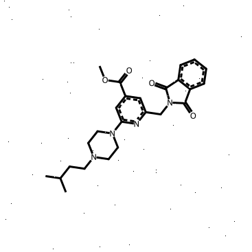 COC(=O)c1cc(CN2C(=O)c3ccccc3C2=O)nc(N2CCN(CCC(C)C)CC2)c1